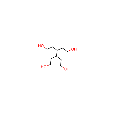 OCC[C](CCO)C(CCO)CCO